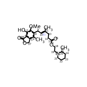 COc1c(O)c2c(c(C)c1C/C=C(\C)CCC(=O)OCCN1CCCC[C@H]1C)COC2=O